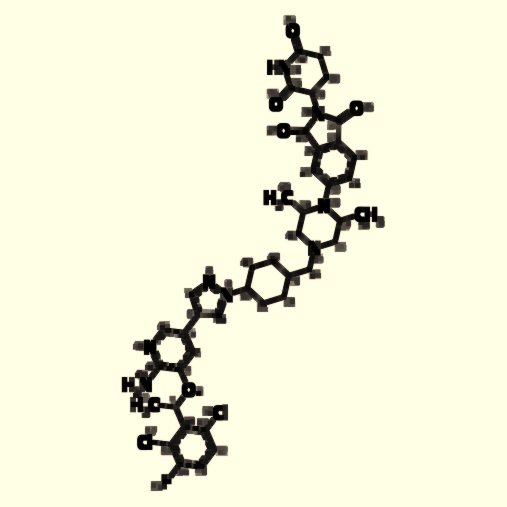 CC(Oc1cc(-c2cnn(C3CCC(CN4CC(C)N(c5ccc6c(c5)C(=O)N(C5CCC(=O)NC5=O)C6=O)C(C)C4)CC3)c2)cnc1N)c1c(Cl)ccc(F)c1Cl